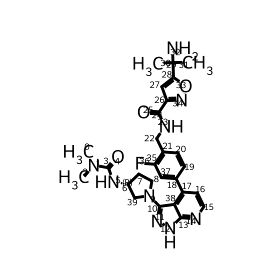 CN(C)C(=O)N[C@@H]1CCN(c2n[nH]c3nccc(-c4ccc(CNC(=O)c5cc(C(C)(C)N)on5)c(F)c4)c23)C1